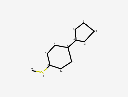 CSC1CCC(C2CCCC2)CC1